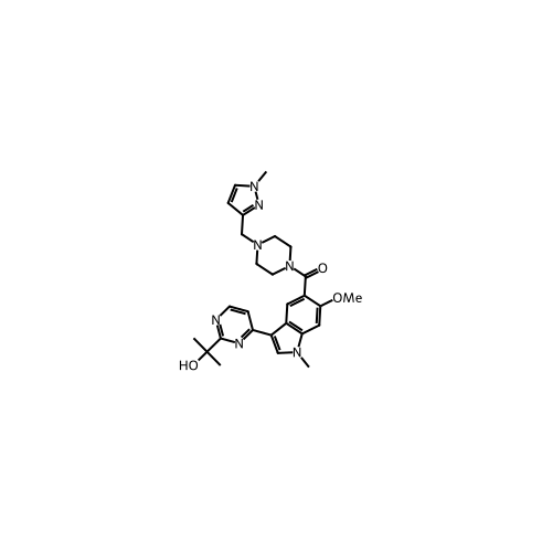 COc1cc2c(cc1C(=O)N1CCN(Cc3ccn(C)n3)CC1)c(-c1ccnc(C(C)(C)O)n1)cn2C